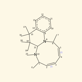 CC1/C=C\C=C/C(C)N2c3ccccc3C(C)(C)C(C)(C)C2N1C